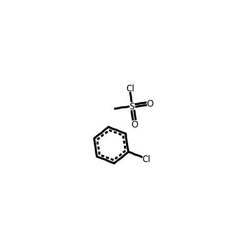 CS(=O)(=O)Cl.Clc1ccccc1